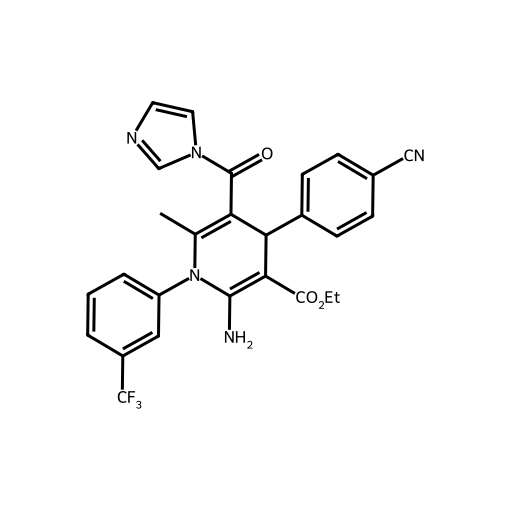 CCOC(=O)C1=C(N)N(c2cccc(C(F)(F)F)c2)C(C)=C(C(=O)n2ccnc2)C1c1ccc(C#N)cc1